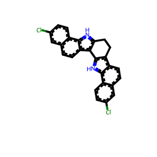 Clc1ccc2c(ccc3c4c([nH]c32)-c2c([nH]c3c2ccc2cc(Cl)ccc23)CC4)c1